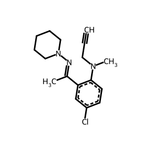 C#CCN(C)c1ccc(Cl)cc1/C(C)=N/N1CCCCC1